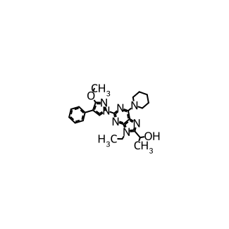 CCn1c(C(C)O)nc2c(N3CCCCC3)nc(-n3cc(-c4ccccc4)c(OC)n3)nc21